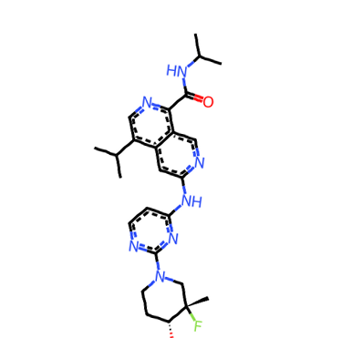 CC(C)NC(=O)c1ncc(C(C)C)c2cc(Nc3ccnc(N4CC[C@@H](O)[C@@](C)(F)C4)n3)ncc12